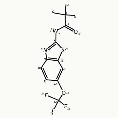 CC(C)(C)C(=O)Nc1nc2ccc(OC(F)(F)F)cc2s1